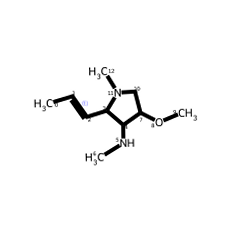 C/C=C/C1C(NC)C(OC)CN1C